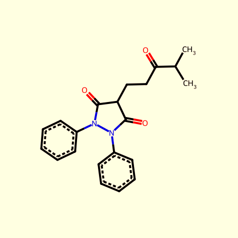 CC(C)C(=O)CCC1C(=O)N(c2ccccc2)N(c2ccccc2)C1=O